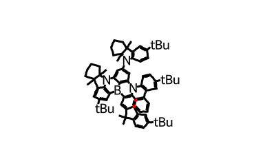 CC(C)(C)c1ccc(N2c3cc4c(cc3B3c5cc(C(C)(C)C)cc6c5N(c5cc(N7c8ccc(C(C)(C)C)cc8C8(C)CCCCC78C)cc2c53)C2(C)CCCCC62C)C(C)(C)c2ccc(C(C)(C)C)cc2-4)c(-c2ccccc2)c1